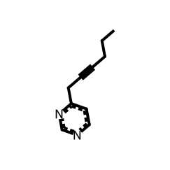 CCCC#CCc1ccncn1